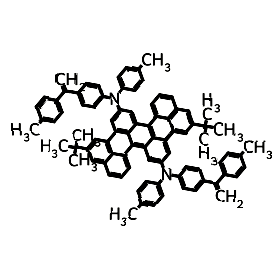 C=C(c1ccc(C)cc1)c1ccc(N(c2ccc(C)cc2)c2cc3c4cc(C(C)(C)C)cc5cccc(c54)c4c5cc(N(c6ccc(C)cc6)c6ccc(C(=C)c7ccc(C)cc7)cc6)cc6c7cc(C(C)(C)C)cc8cccc(c87)c(c(c2)c34)c65)cc1